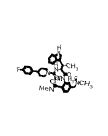 CNC(=O)c1ccc(CN(C)C)cc1NC(=O)[C@H](NC(=O)N1CCC(c2ccc(F)cc2)CC1)[C@@H](C)c1c[nH]c2ccccc12